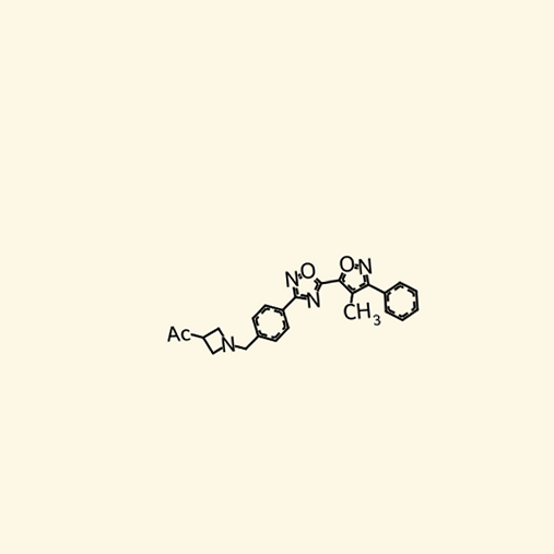 CC(=O)C1CN(Cc2ccc(-c3noc(-c4onc(-c5ccccc5)c4C)n3)cc2)C1